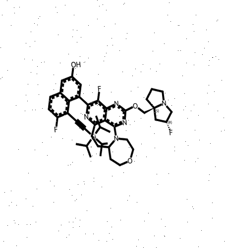 CC(C)[Si](C#Cc1c(F)ccc2cc(O)cc(-c3nc4c5c(nc(OC[C@@]67CCCN6C[C@H](F)C7)nc5c3F)N3CCOCCC3CC4)c12)(C(C)C)C(C)C